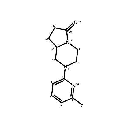 Cc1cccc(N2CCN3C(=O)CCC3C2)n1